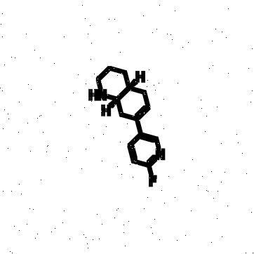 Fc1ccc(C2=CC[C@H]3CCCN[C@H]3C2)cn1